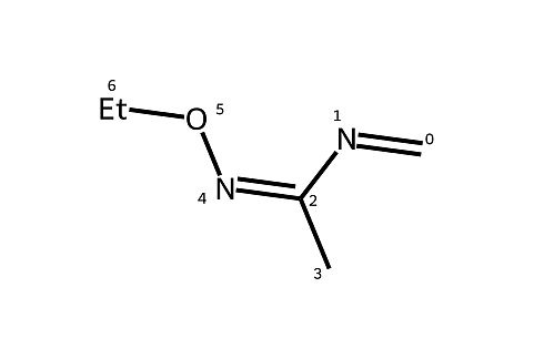 C=N/C(C)=N\OCC